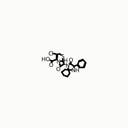 O=C(O)C1=C(Cl)CS[C@H]2[C@H](N3C(=O)C(c4ccccc4)NC34CCCCC4)C(=O)N12